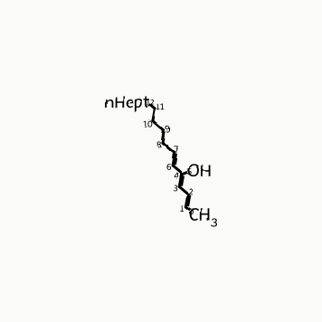 CC=CC=C(O)C=CCCCCCCCCCCC